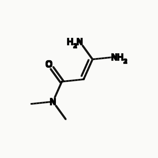 CN(C)C(=O)C=C(N)N